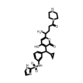 NC(CCC(=O)N1CCNCC1)c1cc(O)c(C(c2cccc(NS(=O)(=O)c3ncc[nH]3)c2)C2CC2)c(=O)o1